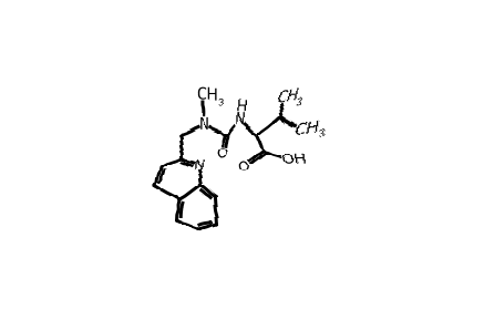 CC(C)C(NC(=O)N(C)Cc1ccc2ccccc2n1)C(=O)O